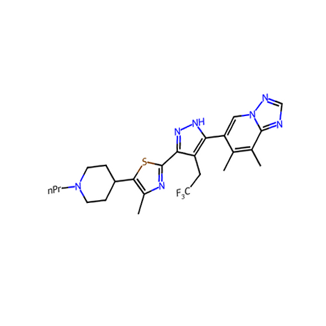 CCCN1CCC(c2sc(-c3n[nH]c(-c4cn5ncnc5c(C)c4C)c3CC(F)(F)F)nc2C)CC1